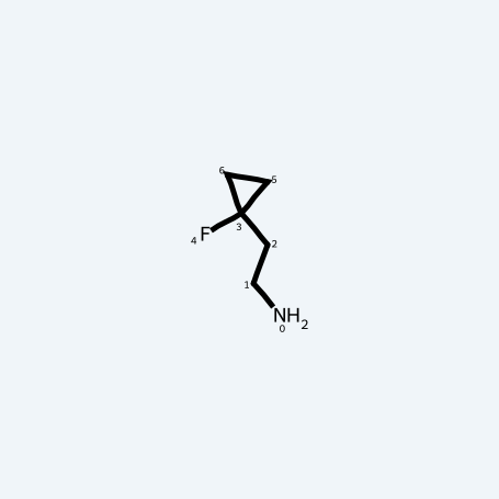 NCCC1(F)CC1